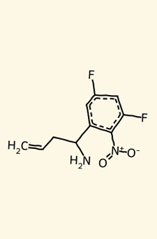 C=CCC(N)c1cc(F)cc(F)c1[N+](=O)[O-]